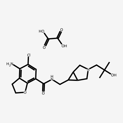 CC(C)(O)CN1CC2C(CNC(=O)c3cc(Cl)c(N)c4c3OCC4)C2C1.O=C(O)C(=O)O